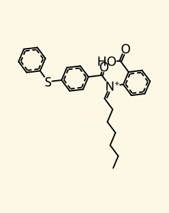 CCCCCCC=[N+](C(=O)c1ccc(Sc2ccccc2)cc1)c1ccccc1C(=O)O